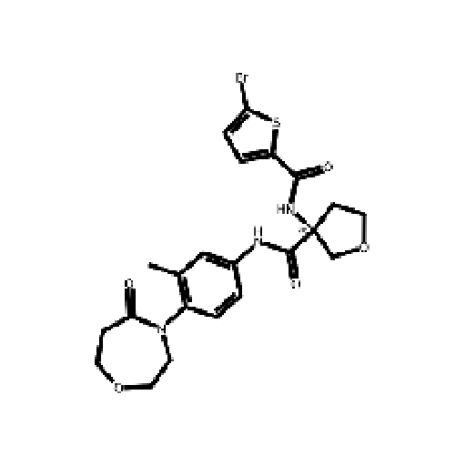 Cc1cc(NC(=O)[C@]2(NC(=O)c3ccc(Br)s3)CCOC2)ccc1N1CCOCCC1=O